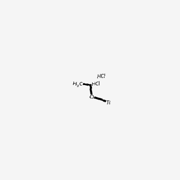 CC[O][Ti].Cl.Cl